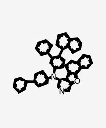 c1ccc(-c2ccc(N(c3ccc(-c4cccc5ccccc45)c(-c4ccccc4)c3)c3cncc4oc5c6ccccc6ccc5c34)cc2)cc1